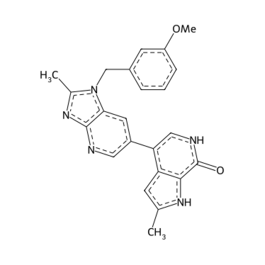 COc1cccc(Cn2c(C)nc3ncc(-c4c[nH]c(=O)c5[nH]c(C)cc45)cc32)c1